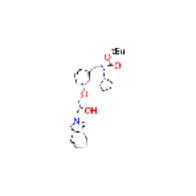 CC(C)(C)OC(=O)N(Cc1cccc(OCC(O)Cn2cc3ccccc3c2)c1)C1CCCC1